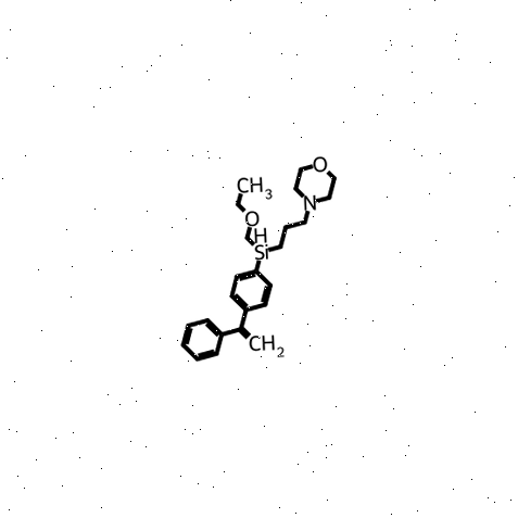 C=C(c1ccccc1)c1ccc([SiH](CCCN2CCOCC2)COCC)cc1